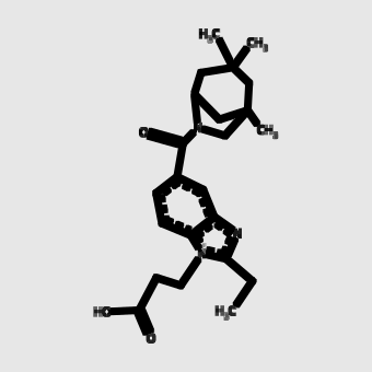 CCc1nc2cc(C(=O)N3CC4(C)CC3CC(C)(C)C4)ccc2n1CCC(=O)O